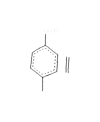 C=C.Cc1ccc(S(=O)(=O)O)cc1